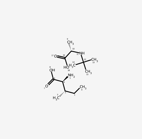 CC[C@H](C)[C@H](N)C(=O)O.C[C@H](NC(C)(C)C)C(=O)O